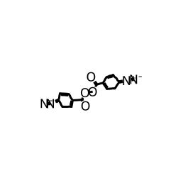 [N-]=[N+]=C1C=CC(C(=O)OOC(=O)C2=CCC(=[N+]=[N-])C=C2)=CC1